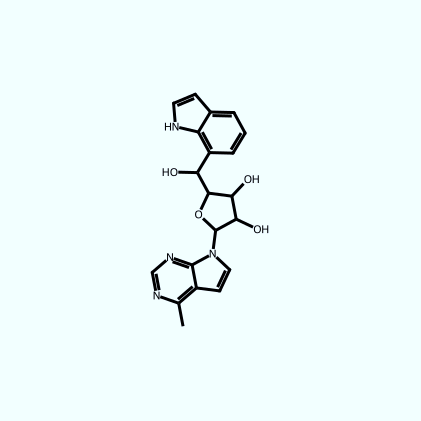 Cc1ncnc2c1ccn2C1OC(C(O)c2cccc3cc[nH]c23)C(O)C1O